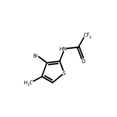 Cc1csc(NC(=O)C(F)(F)F)c1Br